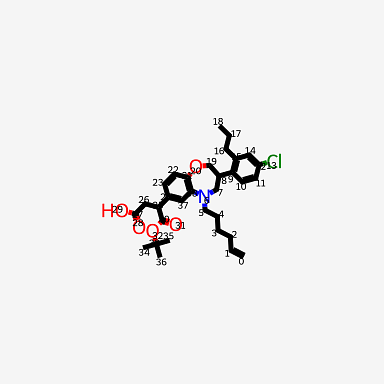 C=CCCCCN1CC(c2ccc(Cl)cc2CCC)COc2ccc(C(CC(=O)O)C(=O)OC(C)(C)C)cc21